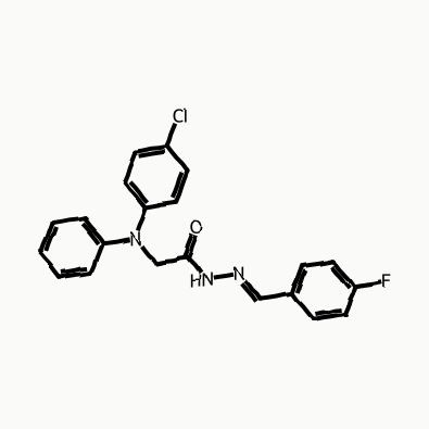 O=C(CN(c1ccccc1)c1ccc(Cl)cc1)NN=Cc1ccc(F)cc1